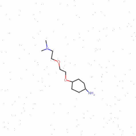 CN(C)CCOCCOC1CCC(N)CC1